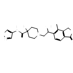 Cc1c(C(O)CN2CCC(F)(C(=O)Nc3cnsc3)CC2)ccc2c1COC2=O